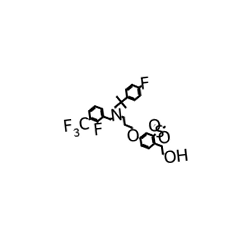 CC(C)(CN(CCCOc1ccc(CCO)c(S(C)(=O)=O)c1)Cc1cccc(C(F)(F)F)c1F)c1ccc(F)cc1